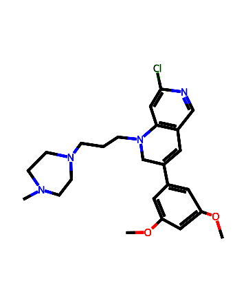 COc1cc(OC)cc(C2=Cc3cnc(Cl)cc3N(CCCN3CCN(C)CC3)C2)c1